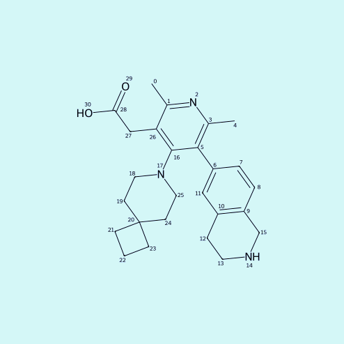 Cc1nc(C)c(-c2ccc3c(c2)CCNC3)c(N2CCC3(CCC3)CC2)c1CC(=O)O